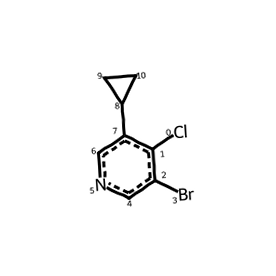 Clc1c(Br)cncc1C1CC1